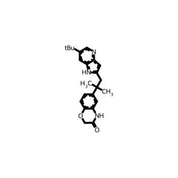 CC(C)(C)c1cnc2cc(CC(C)(C)c3ccc4c(c3)NC(=O)CO4)[nH]c2c1